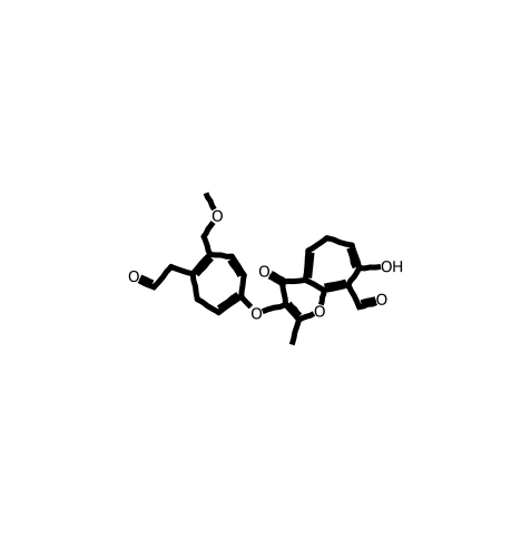 COCC1=C(CC=O)CC=C(Oc2c(C)oc3c(c2=O)=CCC=C(O)C=3C=O)C=C1